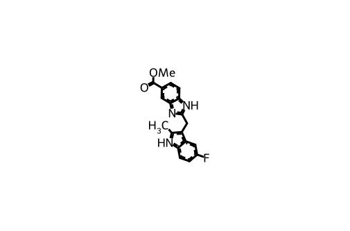 COC(=O)c1ccc2[nH]c(Cc3c(C)[nH]c4ccc(F)cc34)nc2c1